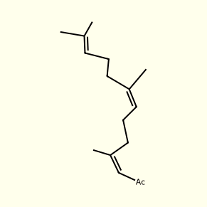 CC(=O)C=C(C)CCC=C(C)CCC=C(C)C